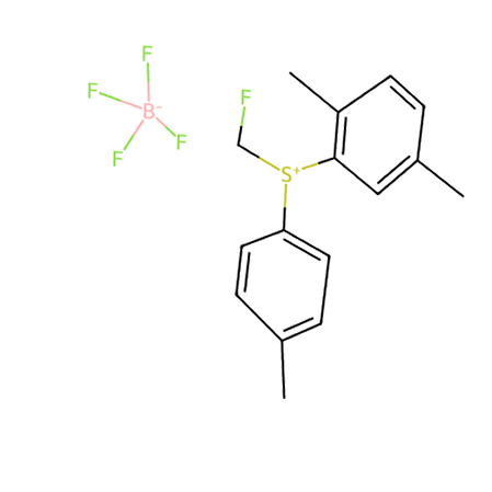 Cc1ccc([S+](CF)c2cc(C)ccc2C)cc1.F[B-](F)(F)F